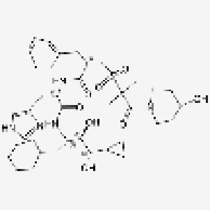 CC(C)(C(=O)N1CCC(O)CC1)S(=O)(=O)C[C@@H](Cc1ccccc1)C(=O)N[C@@H](Cc1c[nH]cn1)C(=O)N[C@@H](CC1CCCCC1)[C@@H](O)[C@@H](O)C1CC1